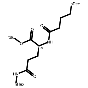 CCCCCCCCCCCCCC(=O)N[C@@H](CCC(=O)NCCCCCC)C(=O)OC(C)(C)C